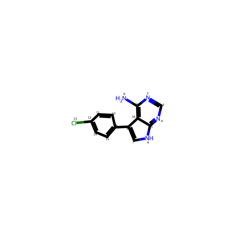 Nc1ncnc2[nH]cc(-c3ccc(Cl)cc3)c12